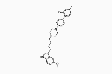 COc1ccc2[nH]cc(CCCCN3CCN(c4ccc(-n5ccc(C)cc5=O)cc4)CC3)c2c1